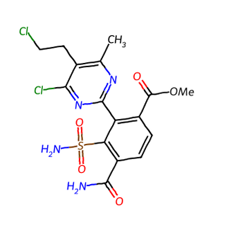 COC(=O)c1ccc(C(N)=O)c(S(N)(=O)=O)c1-c1nc(C)c(CCCl)c(Cl)n1